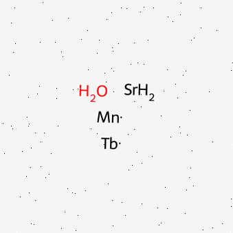 O.[Mn].[SrH2].[Tb]